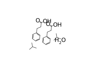 CC(C)C.CC(C)C.O.O=C(O)CCc1ccccc1.O=C(O)CCc1ccccc1